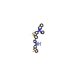 c1ccc(N(c2ccc3ccccc3c2)c2ccc3sc4cc(-c5cccc(Nc6ccc7sc8ccccc8c7c6)c5)ccc4c3c2)cc1